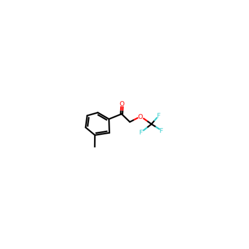 Cc1cccc(C(=O)COC(F)(F)F)c1